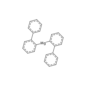 c1ccc(-c2cccc[c]2[Mg][c]2ccccc2-c2ccccc2)cc1